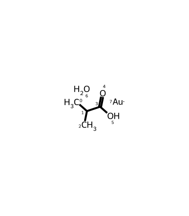 CC(C)C(=O)O.O.[Au]